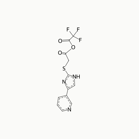 O=C(CSc1nc(-c2cccnc2)c[nH]1)OC(=O)C(F)(F)F